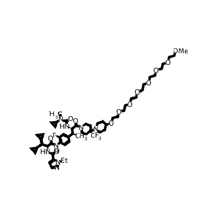 CCn1nccc1C(=O)N[C@H](C(=O)Nc1ccc([C@H](C)[C@@H](NC(=O)N(C)C2CC2)C(=O)N2CCC(N3CCC(OCCOCCOCCOCCOCCOCCOCCOC)CC3)(C(F)(F)F)CC2)cc1F)C(C1CC1)C1CC1